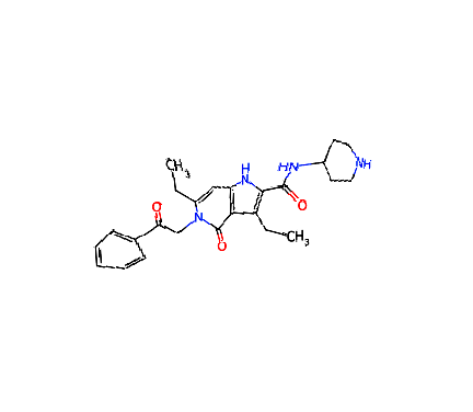 CCc1c(C(=O)NC2CCNCC2)[nH]c2cc(CC)n(CC(=O)c3ccccc3)c(=O)c12